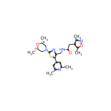 Cc1cc(-c2sc(N3C[C@@H](C)O[C@@H](C)C3)nc2CNC(=O)Cc2c(C)noc2C)cc(C)n1